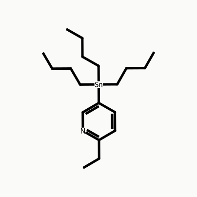 CCC[CH2][Sn]([CH2]CCC)([CH2]CCC)[c]1ccc(CC)nc1